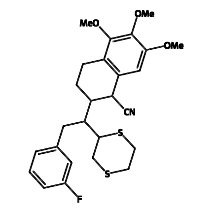 COc1cc2c(c(OC)c1OC)CCC(C(Cc1cccc(F)c1)C1CSCCS1)C2C#N